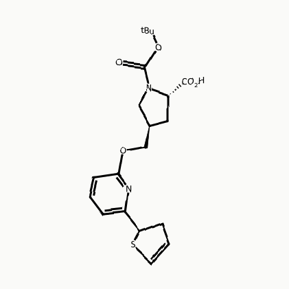 CC(C)(C)OC(=O)N1C[C@H](COc2cccc(C3CC=CS3)n2)C[C@H]1C(=O)O